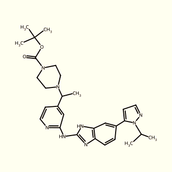 CC(c1ccnc(Nc2nc3ccc(-c4ccnn4C(C)C)cc3[nH]2)c1)N1CCN(C(=O)OC(C)(C)C)CC1